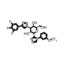 OC[C@H]1O[C@@H](c2nncn2-c2cccc(OC(F)(F)F)c2)[C@H](O)[C@@H](n2cc(-c3cc(F)c(F)c(F)c3)nn2)[C@H]1O